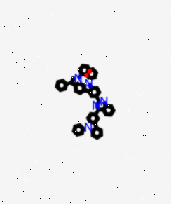 c1ccc(-c2cn(-c3ccccc3)c3c2ccc2c4cc(-c5nc(-c6ccc7c(c6)c6ccccc6n7-c6ccccc6)c6ccccc6n5)ccc4n(-c4ccccc4)c23)cc1